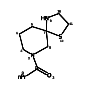 CCCC(=O)N1CCCC2(C1)NCCS2